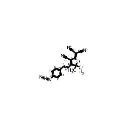 CC1(C)OC(=C(C#N)C#N)C(C#N)=C1/C=C/c1ccc(N=[N+]=[N-])cc1